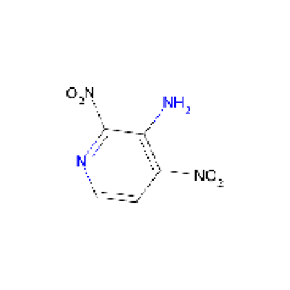 Nc1c([N+](=O)[O-])ccnc1[N+](=O)[O-]